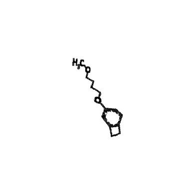 COCCCCOc1ccc2c(c1)CC2